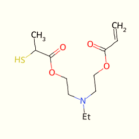 C=CC(=O)OCCN(CC)CCOC(=O)C(C)S